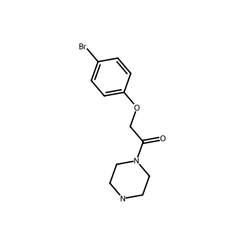 O=C(COc1ccc(Br)cc1)N1CC[N]CC1